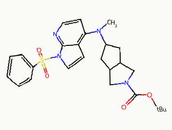 CN(c1ccnc2c1ccn2S(=O)(=O)c1ccccc1)C1CC2CN(C(=O)OC(C)(C)C)CC2C1